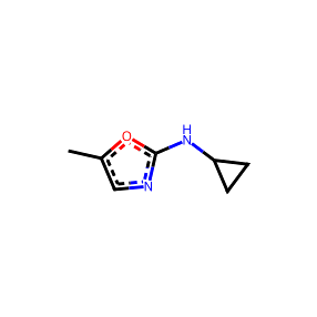 Cc1cnc(NC2CC2)o1